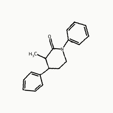 CC1C(=O)N(c2ccccc2)CCC1c1ccccc1